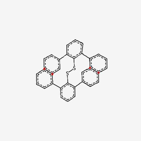 c1ccc(-c2cccc(-c3ccccc3)c2SSc2c(-c3ccccc3)cccc2-c2ccccc2)cc1